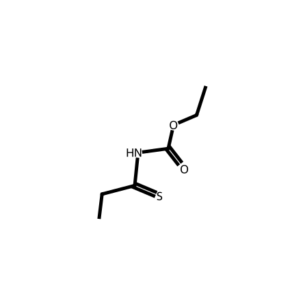 CCOC(=O)NC(=S)CC